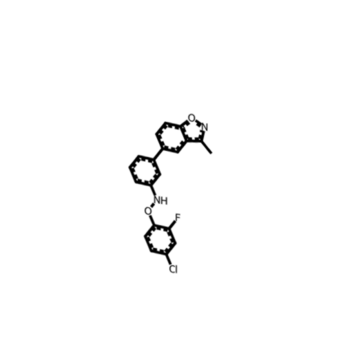 Cc1noc2ccc(-c3cccc(NOc4ccc(Cl)cc4F)c3)cc12